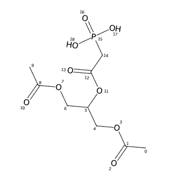 CC(=O)OCC(COC(C)=O)OC(=O)CP(=O)(O)O